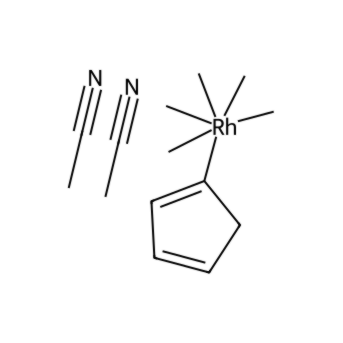 CC#N.CC#N.[CH3][Rh]([CH3])([CH3])([CH3])([CH3])[C]1=CC=CC1